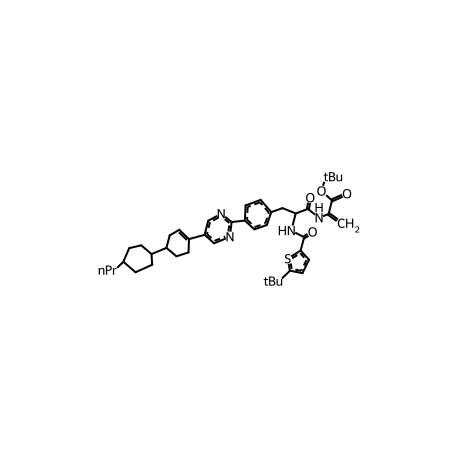 C=C(NC(=O)C(Cc1ccc(-c2ncc(C3=CCC(C4CCC(CCC)CC4)CC3)cn2)cc1)NC(=O)c1ccc(C(C)(C)C)s1)C(=O)OC(C)(C)C